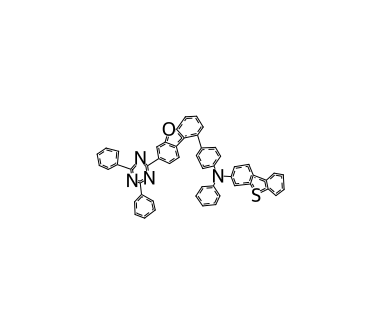 c1ccc(-c2nc(-c3ccccc3)nc(-c3ccc4c(c3)oc3cccc(-c5ccc(N(c6ccccc6)c6ccc7c(c6)sc6ccccc67)cc5)c34)n2)cc1